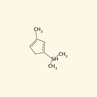 CC1=CCC([SiH](C)C)=C1